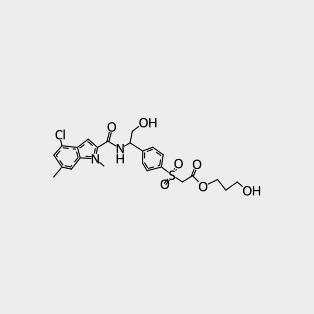 Cc1cc(Cl)c2cc(C(=O)NC(CO)c3ccc(S(=O)(=O)CC(=O)OCCCO)cc3)n(C)c2c1